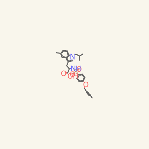 CC#CCOc1ccc(S(=O)(=O)NC(Cc2cn(CC(C)C)c3ccc(C)cc23)C(=O)O)cc1